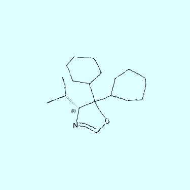 CC(C)[C@H]1N=COC1(C1CCCCC1)C1CCCCC1